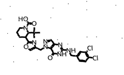 CC(C)(C)C1C(c2nc(Cn3ncc4nc(NCc5ccc(Cl)c(Cl)c5)[nH]c(=O)c43)co2)CCCN1C(=O)O